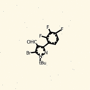 CC(C)(C)n1nc(-c2ccc(F)c(F)c2F)c(C=O)c1Br